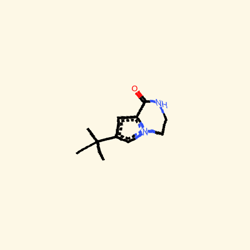 CC(C)(C)c1cc2n(c1)CCNC2=O